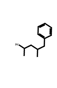 CC(=O)C(C)CC(C)Cc1ccccc1